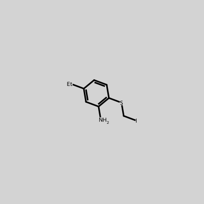 CCc1ccc(SCI)c(N)c1